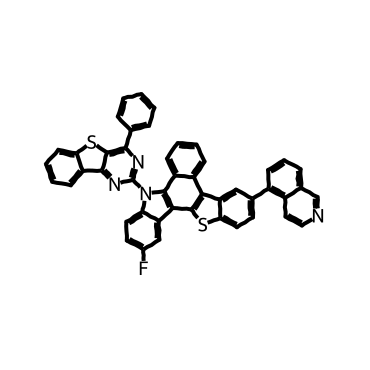 Fc1ccc2c(c1)c1c3sc4ccc(-c5cccc6cnccc56)cc4c3c3ccccc3c1n2-c1nc(-c2ccccc2)c2sc3ccccc3c2n1